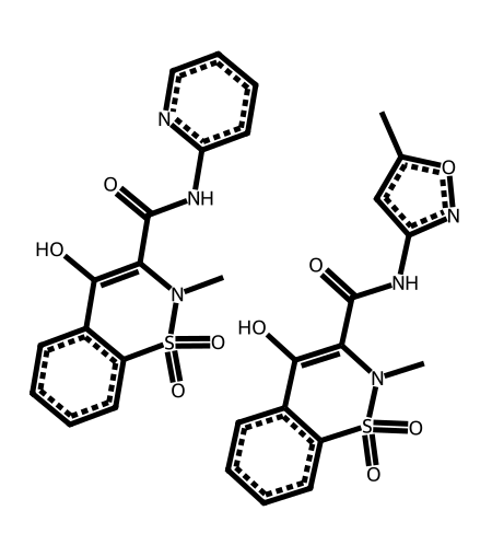 CN1C(C(=O)Nc2ccccn2)=C(O)c2ccccc2S1(=O)=O.Cc1cc(NC(=O)C2=C(O)c3ccccc3S(=O)(=O)N2C)no1